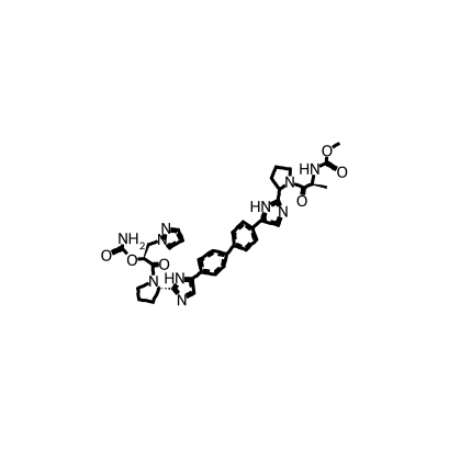 COC(=O)N[C@@H](C)C(=O)N1CCCC1c1ncc(-c2ccc(-c3ccc(-c4cnc([C@@H]5CCCN5C(=O)[C@H](Cn5cccn5)OC(N)=O)[nH]4)cc3)cc2)[nH]1